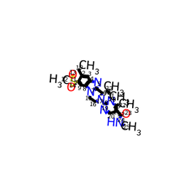 CCc1cc2nc3n(c2cc1S(C)(=O)=O)CCN(c1ncc(C(=O)NC)c(C)n1)[C@H]3C(C)C